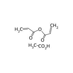 C=CC(=O)OC(=O)C=C.CC(=O)O